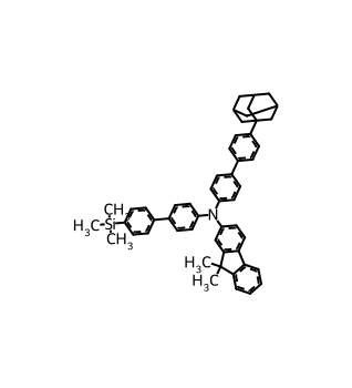 CC1(C)c2ccccc2-c2ccc(N(c3ccc(-c4ccc(C56CC7CC(CC(C7)C5)C6)cc4)cc3)c3ccc(-c4ccc([Si](C)(C)C)cc4)cc3)cc21